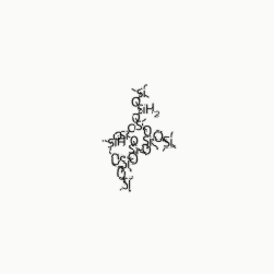 C[SiH]1CO[Si](C)(O[Si](C)(C)C)O[Si]2(C)O[Si](C)(O1)O[Si](C)(O[SiH2]O[Si](C)(C)C)O[Si](C)(O[Si](C)(C)C)O2